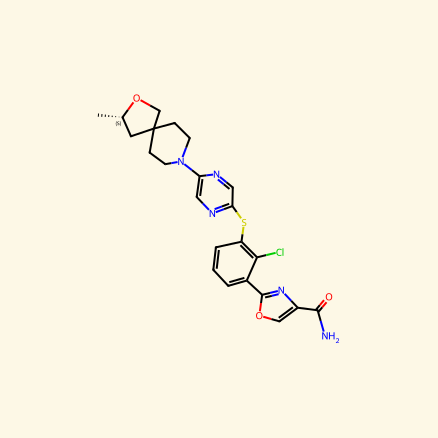 C[C@H]1CC2(CCN(c3cnc(Sc4cccc(-c5nc(C(N)=O)co5)c4Cl)cn3)CC2)CO1